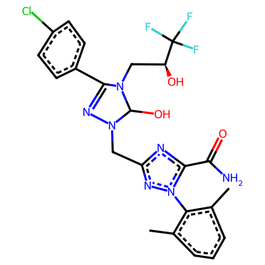 Cc1cccc(C)c1-n1nc(CN2N=C(c3ccc(Cl)cc3)N(C[C@H](O)C(F)(F)F)C2O)nc1C(N)=O